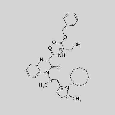 C[C@H]1CC[C@@H](C[C@H](C)n2c(=O)c(C(=O)N[C@@H](CO)C(=O)OCc3ccccc3)nc3ccccc32)N1C1CCCCCCC1